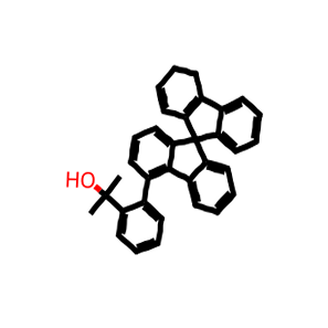 CC(C)(O)c1ccccc1-c1cccc2c1-c1ccccc1C21C2=C(CCC=C2)c2ccccc21